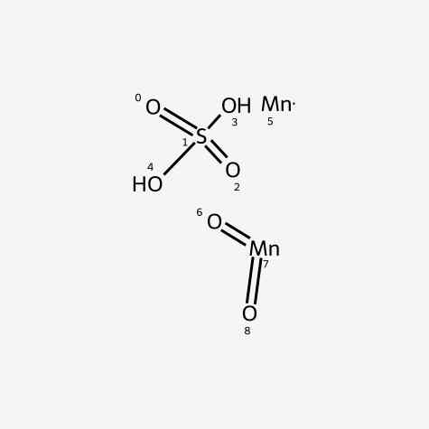 O=S(=O)(O)O.[Mn].[O]=[Mn]=[O]